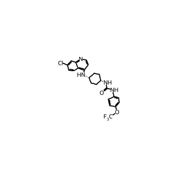 O=C(Nc1ccc(OC(F)(F)F)cc1)N[C@H]1CC[C@@H](Nc2ccnc3cc(Cl)ccc23)CC1